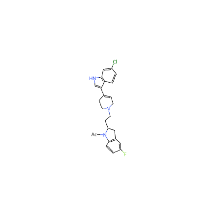 CC(=O)N1c2ccc(F)cc2CC1CCN1CC=C(c2c[nH]c3cc(Cl)ccc23)CC1